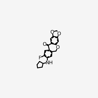 O=C1c2cc(F)c(NC3CCCC3)cc2COc2cc3c(cc21)OCO3